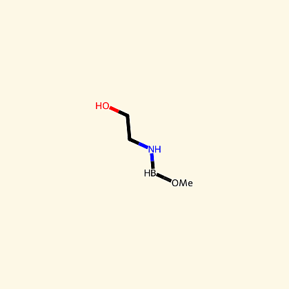 COBNCCO